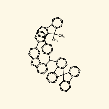 CC1(C)c2ccccc2-c2cccc(-c3ccc(N(c4cccc5c4-c4ccccc4C54c5ccccc5-c5ccccc54)c4cccc5sc6ccc(-c7ccccc7)cc6c45)cc3)c21